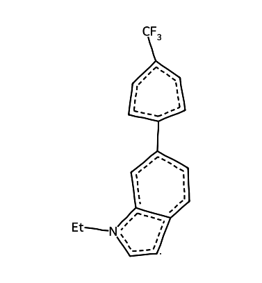 CCn1c[c]c2ccc(-c3ccc(C(F)(F)F)cc3)cc21